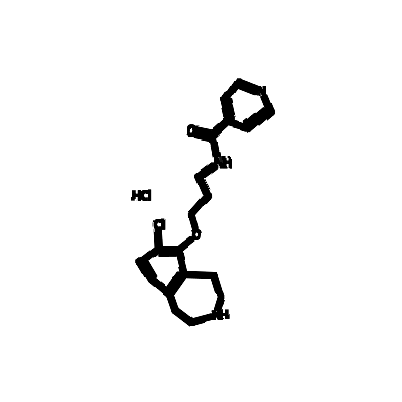 Cl.O=C(NCCCOc1c(Cl)ccc2c1CCNCC2)c1ccncc1